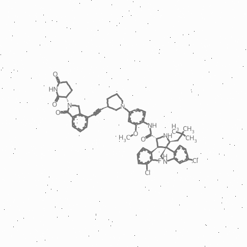 COc1cc(N2CCC[C@H](C#Cc3cccc4c3CN([C@H]3CCC(=O)NC3=O)C4=O)C2)ccc1NC(=O)[C@@H]1N[C@@H](CC(C)(C)C)[C@@]2(CNc3cc(Cl)ccc32)[C@H]1c1cccc(Cl)c1F